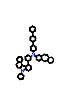 C1=CC2=C(C=Cc3cc(N(c4ccc(-c5ccc(-c6ccccc6)cc5)cc4)c4cccc(-c5cccc6c5c5c7ccccc7ccc5n6-c5ccccc5)c4)ccc3C2)CC1